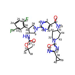 CN(C(=O)c1cnc(N2C[C@H](NC(=O)OC(C)(C)C)[C@@H](c3cc(F)ccc3F)C2)nc1)C1CCN(c2nc(C3CC3)no2)CC1